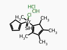 CC1=C(C)C(C)[C]([Zr]([CH3])(=[SiH2])([Cl])[C]2=CC=CC2)=C1C.Cl.Cl